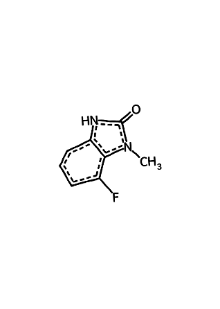 Cn1c(=O)[nH]c2cccc(F)c21